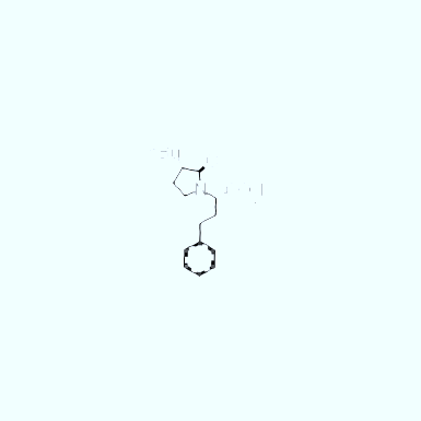 CCCC[C@H]1CCN([C@@H](CCc2ccccc2)C(=O)O)C1=O